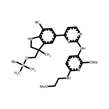 COCCNc1ccc(Nc2nccc(-c3cc(C#N)c4c(c3)C(C)(CO[Si](C)(C)C(C)(C)C)CN4)n2)c(OC)n1